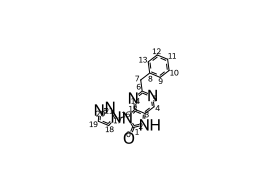 O=c1[nH]c2cnc(Cc3ccccc3)nc2n1-n1ccnn1